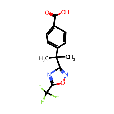 CC(C)(c1ccc(C(=O)O)cc1)c1noc(C(F)(F)F)n1